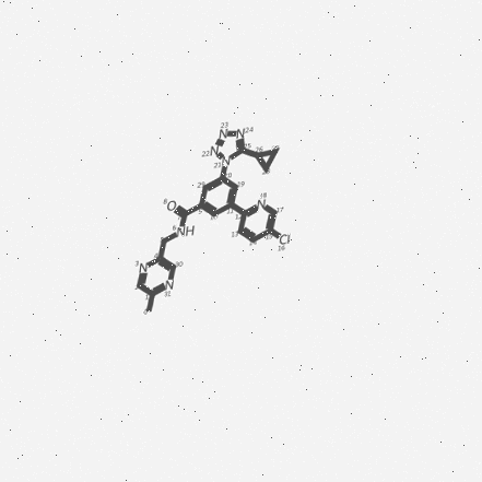 Cc1cnc(CNC(=O)c2cc(-c3ccc(Cl)cn3)cc(-n3nnnc3C3CC3)c2)cn1